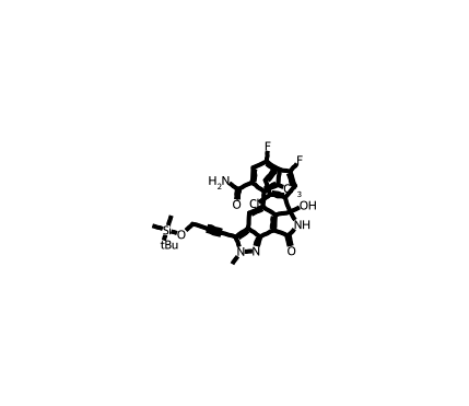 Cn1nc2c3c(c(-c4c(C(N)=O)cc(F)cc4C(F)(F)F)cc2c1C#CCO[Si](C)(C)C(C)(C)C)C(O)(c1cc(F)ccc1Cl)NC3=O